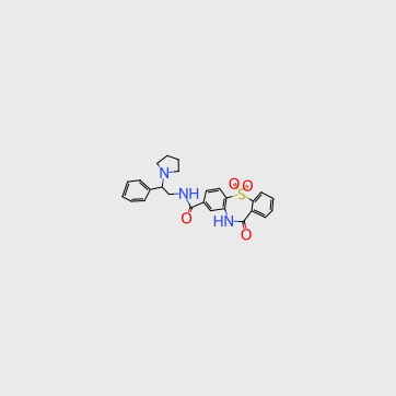 O=C(NCC(c1ccccc1)N1CCCC1)c1ccc2c(c1)NC(=O)c1ccccc1S2(=O)=O